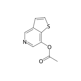 CC(=O)Oc1cncc2ccsc12